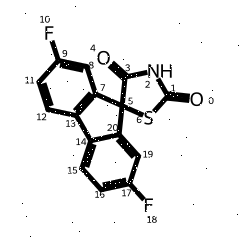 O=C1NC(=O)C2(S1)c1cc(F)ccc1-c1ccc(F)cc12